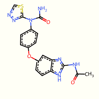 CC(=O)Nc1nc2cc(Oc3ccc(N(C(N)=O)c4nncs4)cc3)ccc2[nH]1